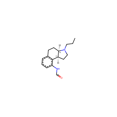 CCCN1CC[C@H]2c3c(cccc3NC=O)CC[C@H]21